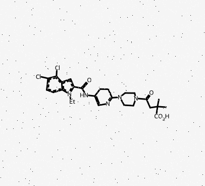 CCn1c(C(=O)NC2=CN=C(N3CCN(C(=O)CC(C)(C)C(=O)O)CC3)CC2)cc2c(Cl)c(Cl)ccc21